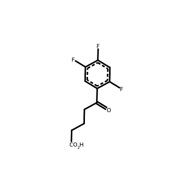 O=C(O)CCCC(=O)c1cc(F)c(F)cc1F